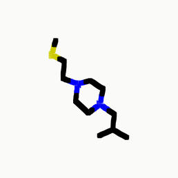 CSCCN1CCN(CC(C)C)CC1